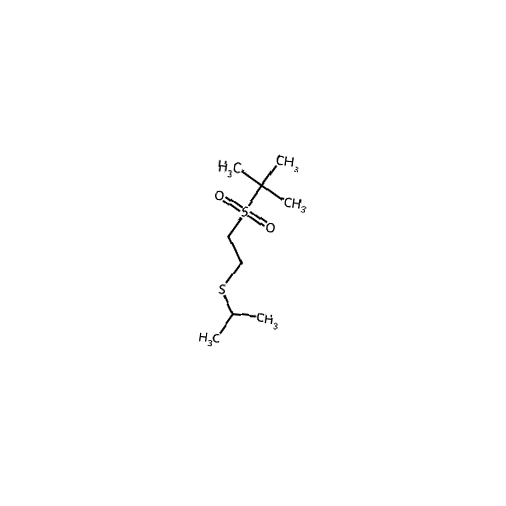 CC(C)SCCS(=O)(=O)C(C)(C)C